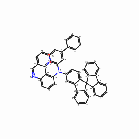 c1ccc(-c2cccc(N(c3ccc4c(c3)-c3ccccc3C43c4ccccc4-c4ccccc43)c3cccc4ncc5cccnc5c34)c2)cc1